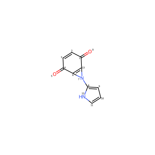 O=c1ccc(=O)c2n(-c3ccc[nH]3)c1=2